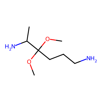 COC(CCCN)(OC)C(C)N